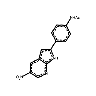 CC(=O)Nc1ccc(-c2cc3cc([N+](=O)[O-])cnc3[nH]2)cc1